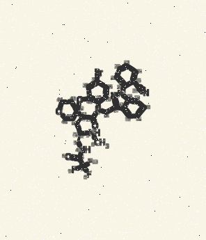 CN[C@H](CNC(=O)C(F)(F)F)C[C@@H]1C(=O)N(Cc2nn(-c3ccccc3C#N)c3ccccc23)c2ccc(Br)cc2OC12CCOCC2